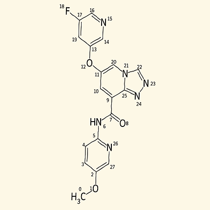 COc1ccc(NC(=O)c2cc(Oc3cncc(F)c3)cn3cnnc23)nc1